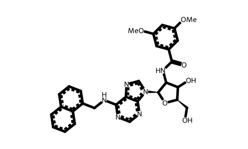 COc1cc(OC)cc(C(=O)NC2C(O)[C@@H](CO)O[C@H]2n2cnc3c(NCc4cccc5ccccc45)ncnc32)c1